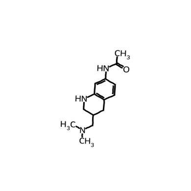 CC(=O)Nc1ccc2c(c1)NCC(CN(C)C)C2